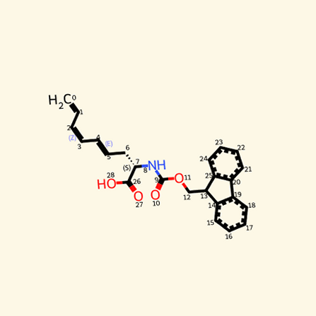 C=C/C=C\C=C\C[C@H](NC(=O)OCC1c2ccccc2-c2ccccc21)C(=O)O